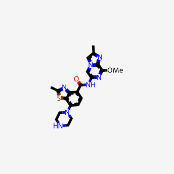 COc1nc(NC(=O)c2ccc(N3CCNCC3)c3sc(C)nc23)cn2cc(C)nc12